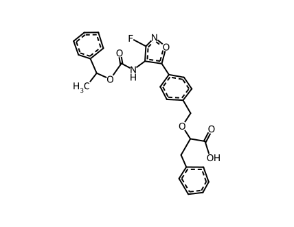 CC(OC(=O)Nc1c(F)noc1-c1ccc(COC(Cc2ccccc2)C(=O)O)cc1)c1ccccc1